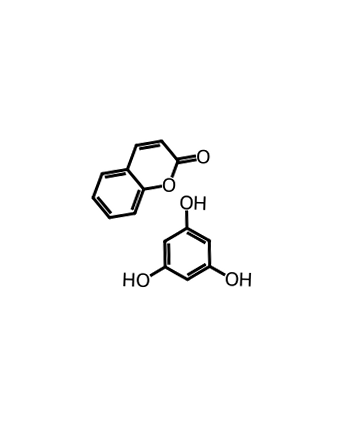 O=c1ccc2ccccc2o1.Oc1cc(O)cc(O)c1